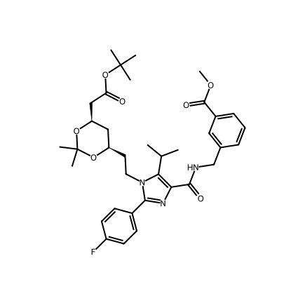 COC(=O)c1cccc(CNC(=O)c2nc(-c3ccc(F)cc3)n(CC[C@@H]3C[C@H](CC(=O)OC(C)(C)C)OC(C)(C)O3)c2C(C)C)c1